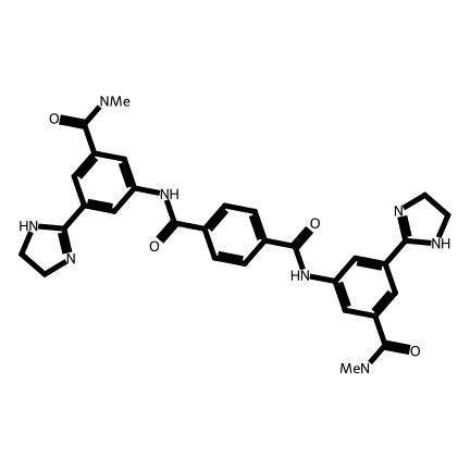 CNC(=O)c1cc(NC(=O)c2ccc(C(=O)Nc3cc(C(=O)NC)cc(C4=NCCN4)c3)cc2)cc(C2=NCCN2)c1